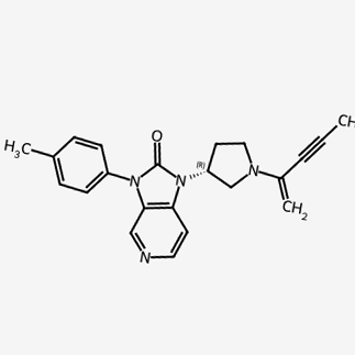 C=C(C#CC)N1CC[C@@H](n2c(=O)n(-c3ccc(C)cc3)c3cnccc32)C1